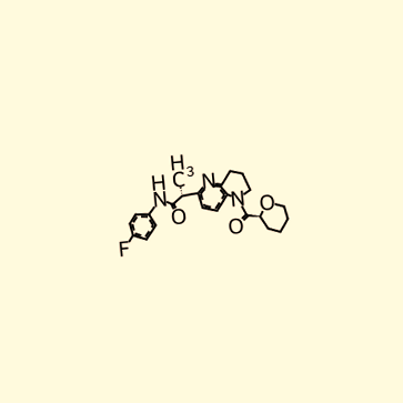 C[C@@H](C(=O)Nc1ccc(F)cc1)c1ccc2c(n1)CCCN2C(=O)[C@@H]1CCCCO1